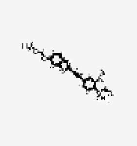 COCOc1ccc2nc(C#Cc3ccc(N(C)C=O)c(N=O)c3)sc2c1